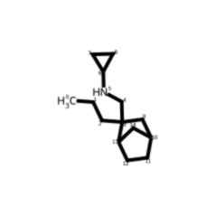 CCCC1(CNC2CC2)CC2CCC1C2